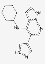 c1cc2c(NC3CCCCC3)c(-c3cn[nH]c3)cnc2[nH]1